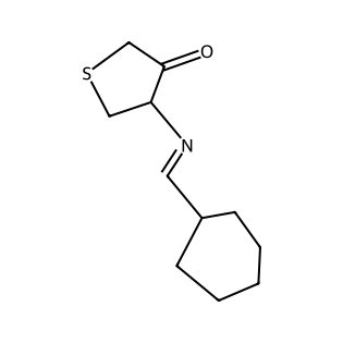 O=C1CSCC1N=CC1CCCCC1